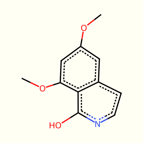 COc1cc(OC)c2c(O)nccc2c1